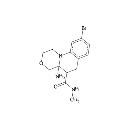 CNC(=O)C1Cc2ccc(Br)cc2N2CCOCC12N